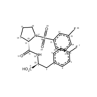 O=C(O)[C@H](Cc1ccc(F)cc1)NC(=O)[C@@H]1SCCN1S(=O)(=O)c1cccc(F)c1